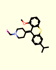 COc1cccc2c1C(=C1CCN(CI)CC1)c1ccc(C(C)C)cc1S2